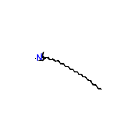 CCCCCCCCCCCCCCCCCCCCCCCC1=C(C)[N]C=C1